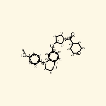 COc1ccc(N2CCOc3ccc(OC4CCN(C(=O)C5CCOCC5)C4)cc32)cn1